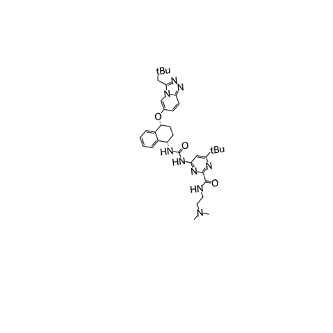 CN(C)CCNC(=O)c1nc(NC(=O)N[C@H]2CC[C@@H](Oc3ccc4nnc(CC(C)(C)C)n4c3)c3ccccc32)cc(C(C)(C)C)n1